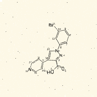 O=C(O)c1nn(-c2cccc(Br)c2)cc1-c1ccncc1